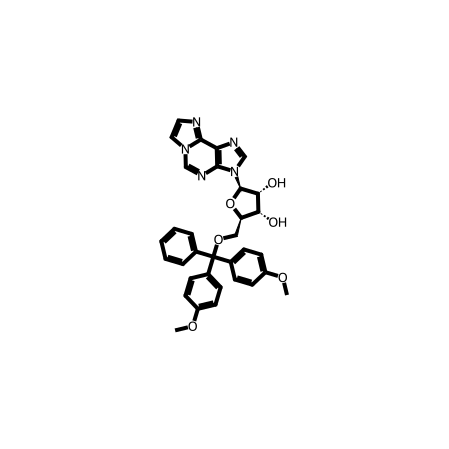 COc1ccc(C(OC[C@H]2O[C@@H](n3cnc4c3ncn3ccnc43)[C@H](O)[C@@H]2O)(c2ccccc2)c2ccc(OC)cc2)cc1